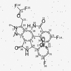 Cn1nc2c3c(c(-c4c(C(N)=O)cc(F)cc4C(F)(F)F)cc2c1COC(F)F)C(c1cc(F)ccc1Cl)NC3=O